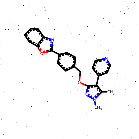 Cc1c(-c2ccncc2)c(OCc2ccc(-c3nc4ccccc4o3)cc2)nn1C